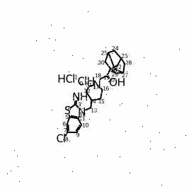 Cl.Cl.N=c1sc2cc(Cl)ccc2n1CC1CCN(CC(O)C23CC4CC(CC(C4)C2)C3)CC1